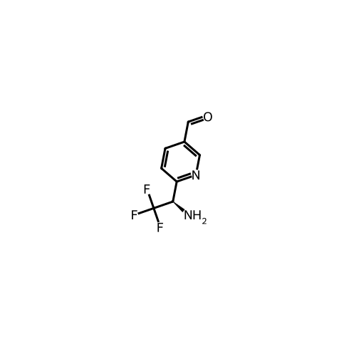 N[C@H](c1ccc(C=O)cn1)C(F)(F)F